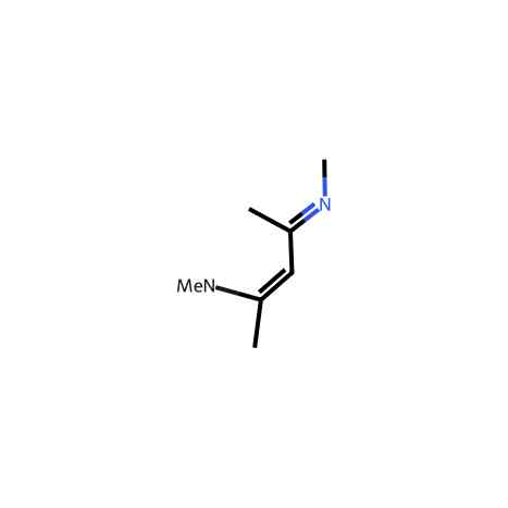 C/N=C(C)/C=C(/C)NC